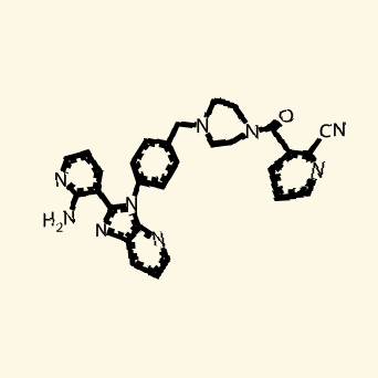 N#Cc1ncccc1C(=O)N1CCN(Cc2ccc(-n3c(-c4cccnc4N)nc4cccnc43)cc2)CC1